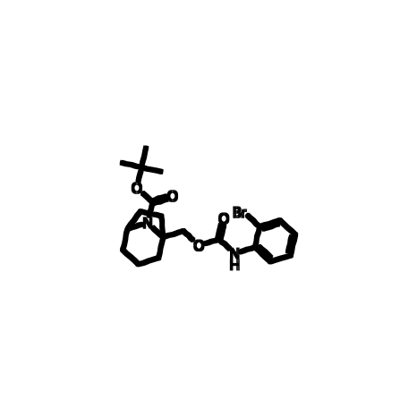 CC(C)(C)OC(=O)N1C2CCCC1(COC(=O)Nc1ccccc1Br)CC2